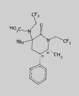 C[C@@H]1[C@H](c2ccccc2)CC(N(CC(F)(F)F)C(=O)O)(C(C)(C)C)C(=O)N1CC(F)(F)F